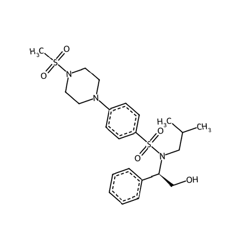 CC(C)CN([C@@H](CO)c1ccccc1)S(=O)(=O)c1ccc(N2CCN(S(C)(=O)=O)CC2)cc1